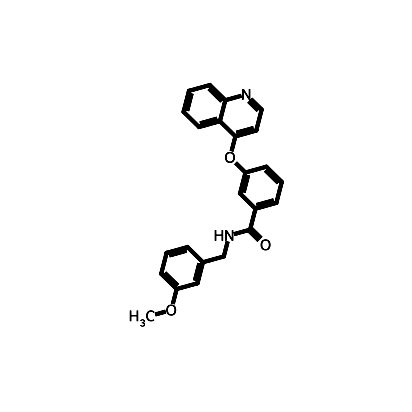 COc1cccc(CNC(=O)c2cccc(Oc3ccnc4ccccc34)c2)c1